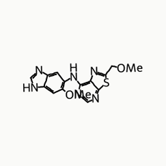 COCc1nc2c(Nc3cc4nc[nH]c4cc3OC)ncnc2s1